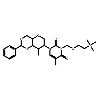 Cc1cn(C2COC3COC(c4ccccc4)OC3C2F)c(=O)n(COCC[Si](C)(C)C)c1=O